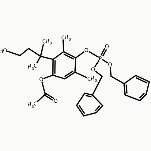 CC(=O)Oc1cc(C)c(OP(=O)(OCc2ccccc2)OCc2ccccc2)c(C)c1C(C)(C)CCO